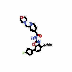 COc1ccc(-c2ccc(F)cc2)c2oc(NC(=O)c3ccnc(CN4CCOCC4)c3)nc12